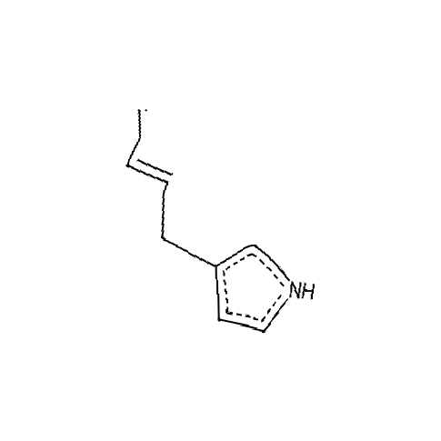 [CH2]C=CCc1cc[nH]c1